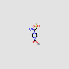 CC(C)(C)OC(=O)N1CCN(C(N)CS(C)(=O)=O)CC1